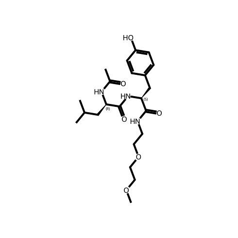 COCCOCCNC(=O)[C@H](Cc1ccc(O)cc1)NC(=O)[C@@H](CC(C)C)NC(C)=O